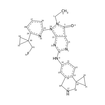 CCn1c(=O)c2cnc(Nc3ccc4c(c3)CNCC43CC3)nc2n1-c1cccc(C2(CF)CC2)n1